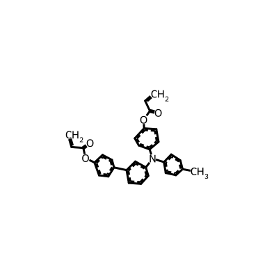 C=CC(=O)Oc1ccc(-c2cccc(N(c3ccc(C)cc3)c3ccc(OC(=O)C=C)cc3)c2)cc1